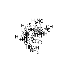 CSCC[C@H](NC(=O)[C@H](CCC(N)=O)NC(=O)[C@H](CCC(=O)O)NC(=O)OCC1c2ccccc2-c2ccccc21)C(=O)N[C@@H](CCC(N)=O)C(=O)N[C@@H](CCCNC(=N)N)C(=O)N[C@@H](CCCNC(=N)N)C(=O)O